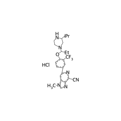 CCC(Oc1ccc(-c2cc3c(ncn3C)c(C#N)n2)cc1C(F)(F)F)N1CCNC(C(C)C)C1.Cl